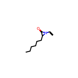 C=CN1C(=O)C1CCCCCC